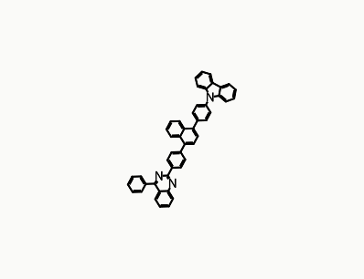 c1ccc(-c2nc(-c3ccc(-c4ccc(-c5ccc(-n6c7ccccc7c7ccccc76)cc5)c5ccccc45)cc3)nc3ccccc23)cc1